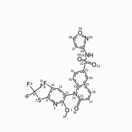 COc1nc(SC(F)(F)F)c(F)cc1-n1c(=O)ccc2cc(S(=O)(=O)Nc3ccon3)ccc21